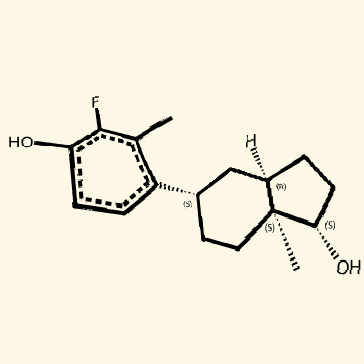 Cc1c([C@H]2CC[C@@]3(C)[C@H](CC[C@@H]3O)C2)ccc(O)c1F